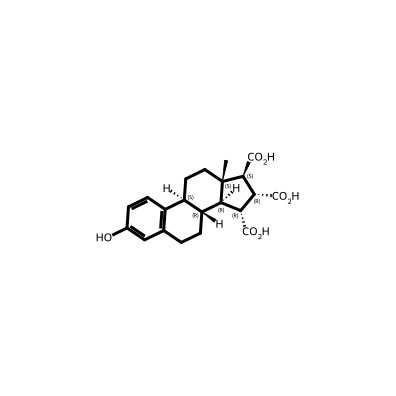 C[C@]12CC[C@@H]3c4ccc(O)cc4CC[C@H]3[C@@H]1[C@@H](C(=O)O)[C@@H](C(=O)O)[C@@H]2C(=O)O